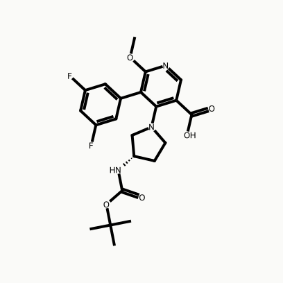 COc1ncc(C(=O)O)c(N2CC[C@H](NC(=O)OC(C)(C)C)C2)c1-c1cc(F)cc(F)c1